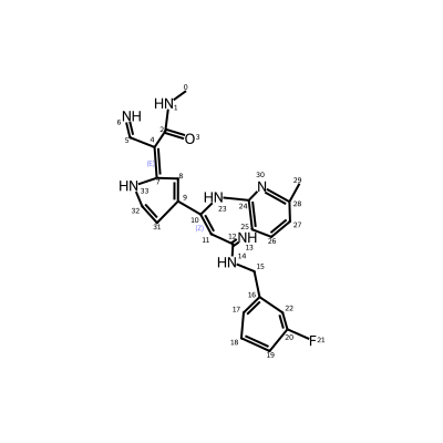 CNC(=O)/C(C=N)=C1C=C(/C(=C/C(=N)NCc2cccc(F)c2)Nc2cccc(C)n2)C=CN\1